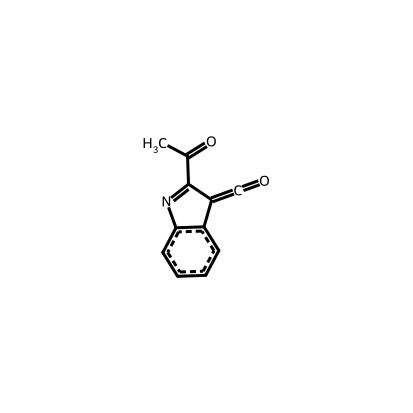 CC(=O)C1=Nc2ccccc2C1=C=O